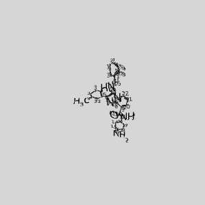 Cc1cccc(-c2nc3c(C(=O)NC4CCC(N)CC4)cccn3c2NCc2ccccc2)c1